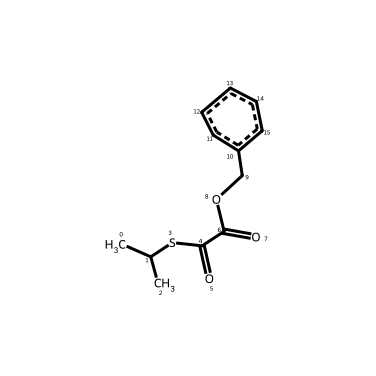 CC(C)SC(=O)C(=O)OCc1ccccc1